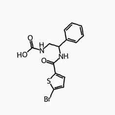 O=C(O)NCC(NC(=O)c1ccc(Br)s1)c1ccccc1